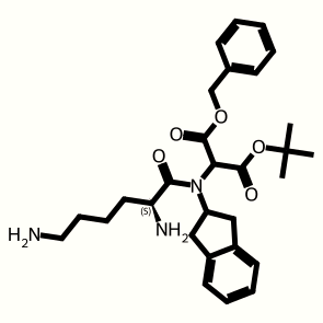 CC(C)(C)OC(=O)C(C(=O)OCc1ccccc1)N(C(=O)[C@@H](N)CCCCN)C1Cc2ccccc2C1